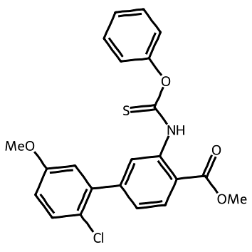 COC(=O)c1ccc(-c2cc(OC)ccc2Cl)cc1NC(=S)Oc1ccccc1